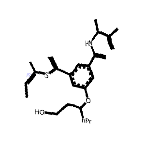 C=C(NC(C)C(=C)C)c1cc(OC(CCC)CCO)cc(C(=C)S/C(C)=C\C)c1